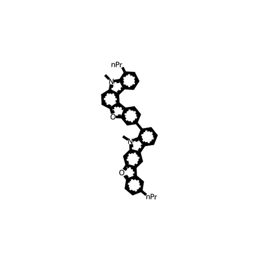 CCCc1ccc2oc3cc4c(cc3c2c1)c1cccc(-c2ccc3c(c2)oc2ccc5c(c6cccc(CCC)c6n5C)c23)c1n4C